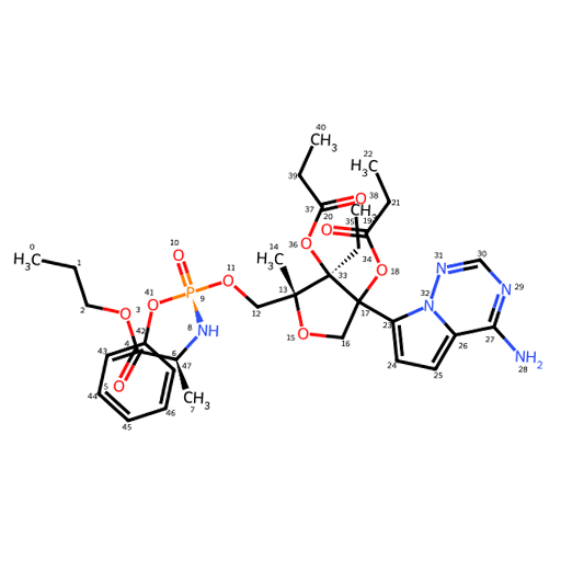 CCCOC(=O)[C@H](C)N[P@@](=O)(OC[C@@]1(C)OCC(OC(=O)CC)(c2ccc3c(N)ncnn23)[C@]1(CC)OC(=O)CC)Oc1ccccc1